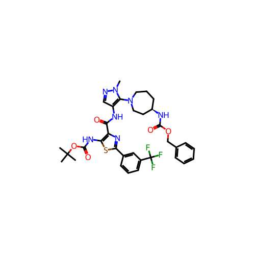 Cn1ncc(NC(=O)c2nc(-c3cccc(C(F)(F)F)c3)sc2NC(=O)OC(C)(C)C)c1N1CCC[C@@H](NC(=O)OCc2ccccc2)CC1